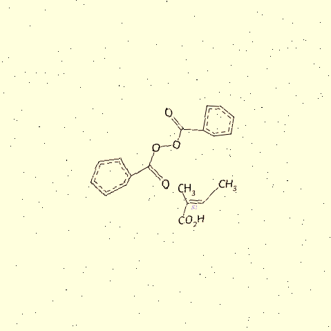 C/C=C(\C)C(=O)O.O=C(OOC(=O)c1ccccc1)c1ccccc1